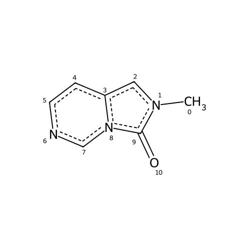 Cn1cc2ccncn2c1=O